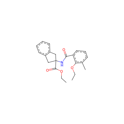 CCOC(=O)C1(NC(=O)c2cccc(C)c2OCC)Cc2ccccc2C1